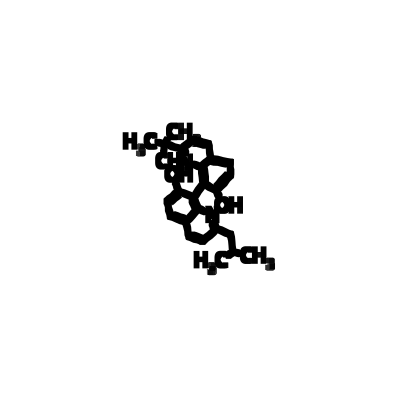 CC(C)Cc1ccc2ccc(O)c(-c3c(O)ccc4ccc(C(C)(C)C)nc34)c2n1